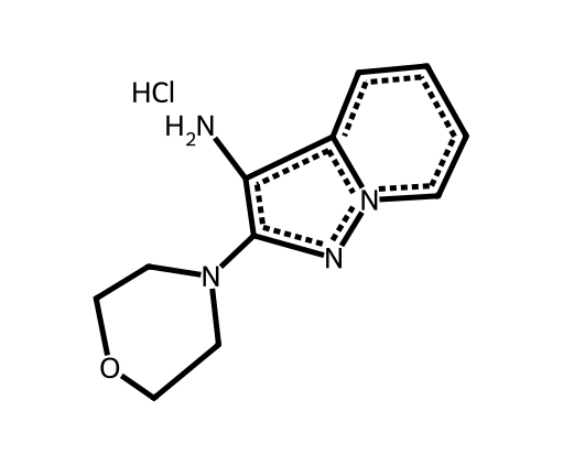 Cl.Nc1c(N2CCOCC2)nn2ccccc12